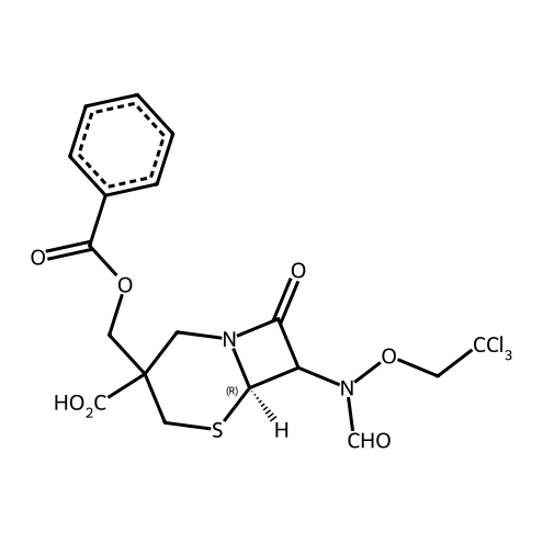 O=CN(OCC(Cl)(Cl)Cl)C1C(=O)N2CC(COC(=O)c3ccccc3)(C(=O)O)CS[C@H]12